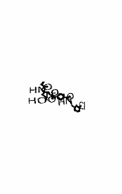 C=CC(=O)NC1CC(CO)N(S(=O)(=O)c2ccc(C(=O)NCCc3cccc(Cl)c3)cc2)C1